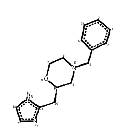 c1ccc(CN2CCO[C@H](Cc3ncc[nH]3)C2)cc1